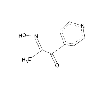 CC(=NO)C(=O)c1ccncc1